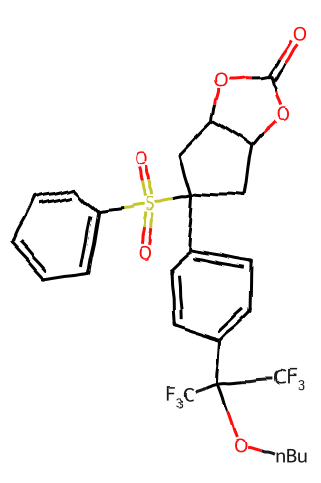 CCCCOC(c1ccc(C2(S(=O)(=O)c3ccccc3)CC3OC(=O)OC3C2)cc1)(C(F)(F)F)C(F)(F)F